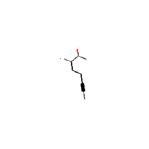 [CH2]C#CCCC(CCC)C(O)CC